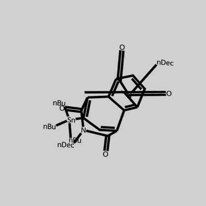 CCCCCCCCCCn1c(=O)c2ccc(c1=O)c1c3[c]([Sn]([CH2]CCC)([CH2]CCC)[CH2]CCC)cc(c(=O)n(CCCCCCCCCC)c3=O)c21